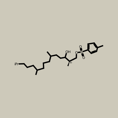 Cc1ccc(S(=O)(=O)OC[C@@H](C)C(O)CCC(C)CCCC(C)CCCC(C)C)cc1